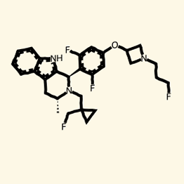 C[C@@H]1Cc2c([nH]c3ccccc23)[C@@H](c2c(F)cc(OC3CN(CCCF)C3)cc2F)N1CC1(CF)CC1